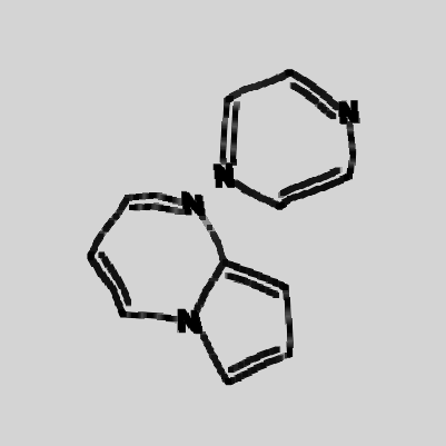 c1cnc2cccn2c1.c1cnccn1